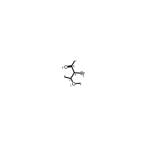 COC(C)C(Br)C(C)=O